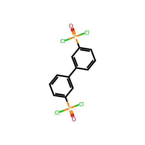 O=P(Cl)(Cl)c1cccc(-c2cccc(P(=O)(Cl)Cl)c2)c1